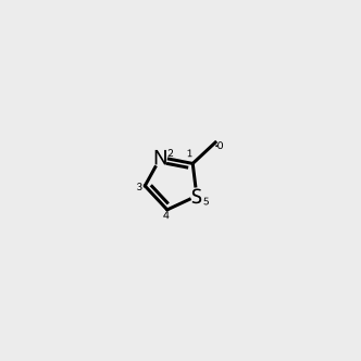 [CH2]c1nccs1